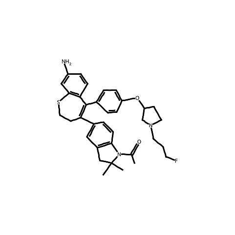 CC(=O)N1c2ccc(C3=C(c4ccc(OC5CCN(CCCF)C5)cc4)c4ccc(N)cc4SCC3)cc2CC1(C)C